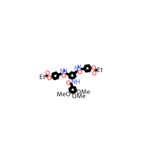 CCC(=O)Oc1ccc(-c2nnc(-c3cc(NC(=O)c4cc(OC)c(OC)c(OC)c4)cc(-c4nnc(-c5ccc(OC(=O)CC)cc5)o4)c3)o2)cc1